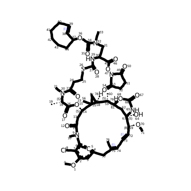 COc1cc2cc(c1Cl)N(C)C(=O)C[C@H](OC(=O)[C@H](C)N(C)C(=O)CCSC(=O)NC(CN(C)C(=O)OC1/C=C/CCCCC1)C(=O)ON1C(=O)CCC1=O)C1(C)C[C@H]1[C@H](C)[C@@H]1C[C@@](O)(NC(=O)O1)[C@H](OC)/C=C/C=C(\C)C2